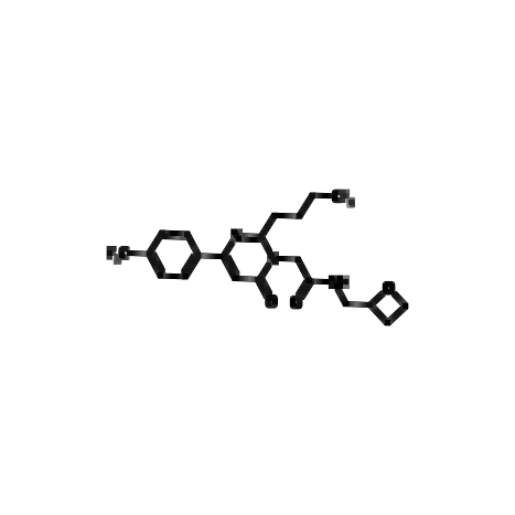 O=C(Cn1c(CCCC(F)(F)F)nc(-c2ccc(C(F)(F)F)cc2)cc1=O)NCC1CCO1